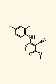 COC(=O)/C(C#N)=C(/Nc1ccc(F)cc1C)SC